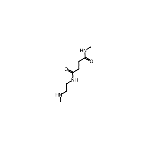 CNCCNC(=O)CCC(=O)NC